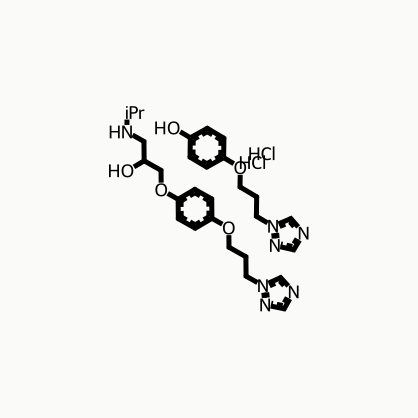 CC(C)NCC(O)COc1ccc(OCCCn2cncn2)cc1.Cl.Cl.Oc1ccc(OCCCn2cncn2)cc1